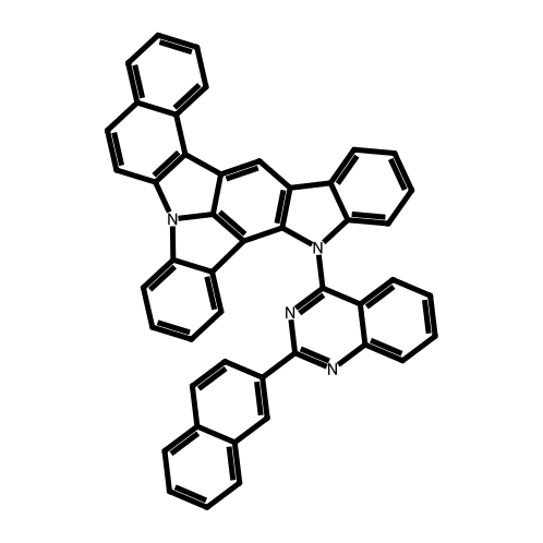 c1ccc2cc(-c3nc(-n4c5ccccc5c5cc6c7c8ccccc8ccc7n7c8ccccc8c(c54)c67)c4ccccc4n3)ccc2c1